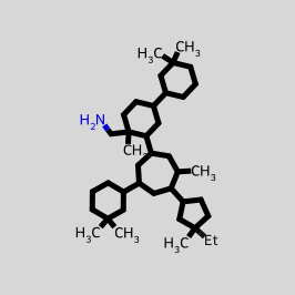 CCC1(C)CCC(C2CC(C3CCCC(C)(C)C3)CC(C3CC(C4CCCC(C)(C)C4)CCC3(C)CN)CC2C)C1